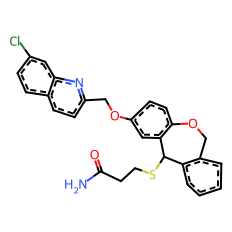 NC(=O)CCSC1c2ccccc2COc2ccc(OCc3ccc4ccc(Cl)cc4n3)cc21